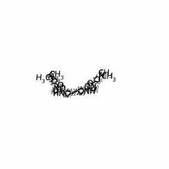 CN(C)c1ccc(C(=O)N2CCC[C@H]2C(=O)Nc2ccc(/C=C/c3ccc(NC(=O)[C@@H]4CCCN4C(=O)c4ccc(N(C)C)cc4)cc3)cc2)cc1